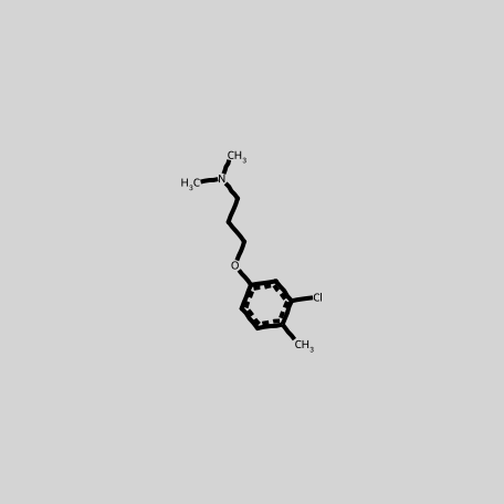 Cc1ccc(OCCCN(C)C)cc1Cl